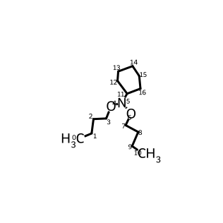 CCCCON(OCCCC)C1CCCCC1